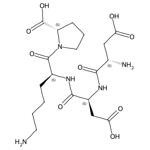 NCCCC[C@H](NC(=O)[C@H](CC(=O)O)NC(=O)[C@@H](N)CC(=O)O)C(=O)N1CCC[C@H]1C(=O)O